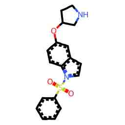 O=S(=O)(c1ccccc1)n1ccc2cc(OC3CCNC3)ccc21